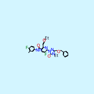 CCOC=Cc1nc(-n2nc(COCc3ccccc3)n(CC)c2=O)c(F)cc1C(=O)Nc1ccc(F)c(C)c1